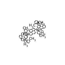 Cc1ccc(N(c2cc(-c3c(C)cccc3C)cc(-c3c(C)cccc3C)c2)c2ccc3ccc4c(N(c5cc(-c6c(C)cccc6C)cc(-c6c(C)cccc6C)c5)c5ccc(C)cc5F)ccc5ccc2c3c54)c(F)c1